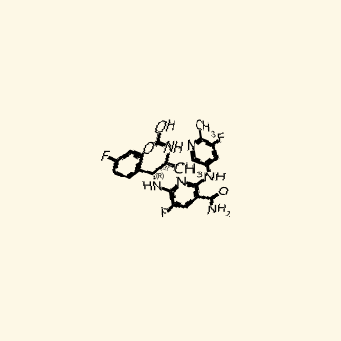 Cc1ncc(Nc2nc(N[C@H](c3ccc(F)cc3)[C@H](C)NC(=O)O)c(F)cc2C(N)=O)cc1F